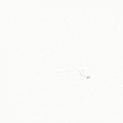 CCCCCCCCCCCCCCCCCC(=O)OC1C(O)[C@H](O)C(CO)O[C@H]1O[C@]1(CO)O[C@H](CO)C(O)C[C@H]1O